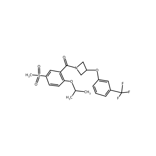 CC(C)Oc1ccc(S(C)(=O)=O)cc1C(=O)N1CC(Oc2cccc(C(F)(F)F)c2)C1